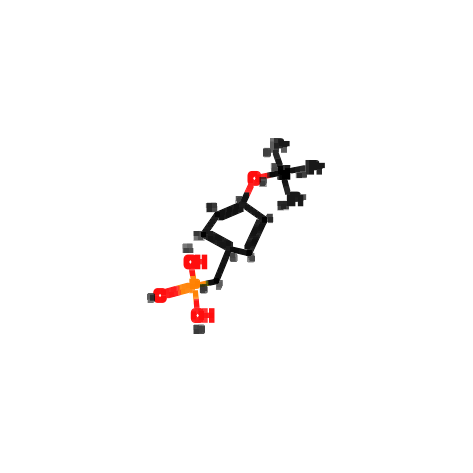 CC(C)[Si](Oc1ccc(CP(=O)(O)O)cc1)(C(C)C)C(C)C